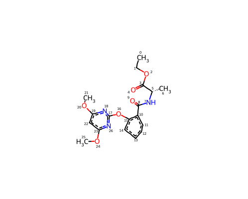 CCOC(=O)[C@H](C)NC(=O)c1ccccc1Oc1nc(OC)cc(OC)n1